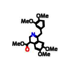 COC(=O)C1CN=C(Cc2ccc(OC)c(OC)c2)c2cc(OC)c(OC)cc21